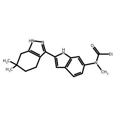 CCC(=O)N(C)c1ccc2cc(-c3n[nH]c4c3CCC(C)(C)C4)[nH]c2c1